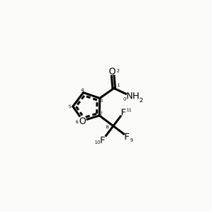 NC(=O)c1ccoc1C(F)(F)F